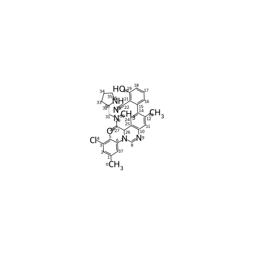 Cc1cc(Cl)cc(N2C=Nc3cc(C)c(-c4cccc(O)c4C#N)cc3C2C(=O)N(C)C[C@@H]2CCCN2)c1